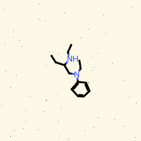 CCNC(CC)CN(CC)c1[c]cccc1